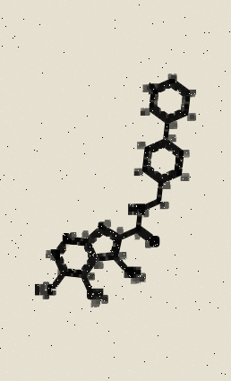 Cc1nnc2sc(C(=O)NCc3ccc(-c4cccnc4)cc3)c(N)c2c1C